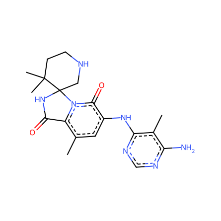 Cc1cc(Nc2ncnc(N)c2C)c(=O)n2c1C(=O)NC21CNCCC1(C)C